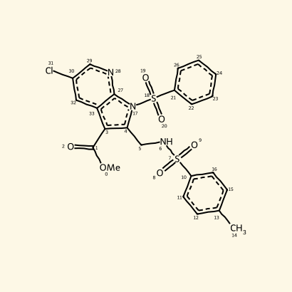 COC(=O)c1c(CNS(=O)(=O)c2ccc(C)cc2)n(S(=O)(=O)c2ccccc2)c2ncc(Cl)cc12